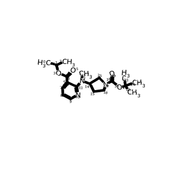 CC(C)OC(=O)c1cccnc1N(C)C1CCN(C(=O)OC(C)(C)C)C1